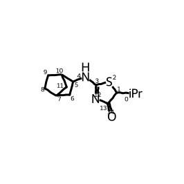 CC(C)C1SC(NC2CC3CCC2C3)=NC1=O